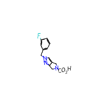 O=C(O)N1Cc2cn(Cc3cccc(F)c3)nc2C1